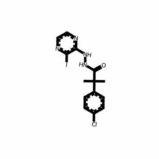 CC(C)(C(=O)NNc1nccnc1I)c1ccc(Cl)cc1